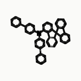 C1=CC2c3c(N(c4ccc(-c5ccccc5)cc4)c4ccc(-c5ccccc5)cc4)cccc3C3(c4ccccc4-c4ccccc43)C2C=C1